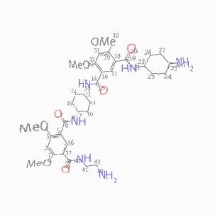 COc1cc(OC)c(C(=O)N[C@H]2CC[C@@H](NC(=O)c3cc(C(=O)NC4CCC(N)CC4)c(OC)cc3OC)CC2)cc1C(=O)NCCN